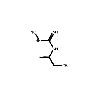 CC(CC(F)(F)F)NC(=N)NC#N